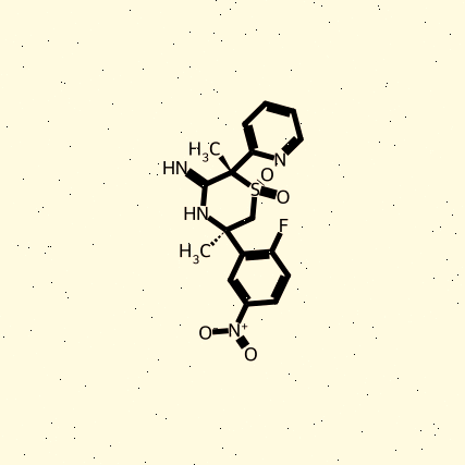 C[C@@]1(c2cc([N+](=O)[O-])ccc2F)CS(=O)(=O)[C@@](C)(c2ccccn2)C(=N)N1